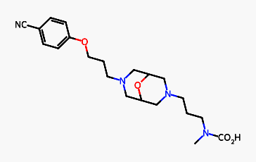 CN(CCCN1CC2CN(CCCOc3ccc(C#N)cc3)CC(C1)O2)C(=O)O